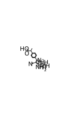 [2H]C([2H])([2H])C([2H])(C)n1nc(-c2ccc(C(C)C(=O)O)cc2)c(C#N)c1N